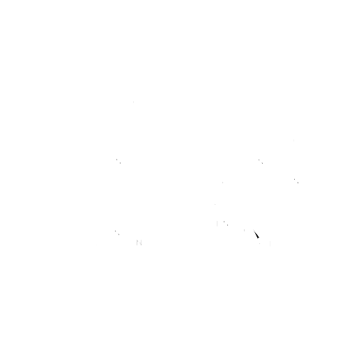 Cc1cnc(-c2cc(C(=O)N[C@H](C)c3cnc(C(F)(F)F)nc3)cc3nn(CCC(F)(F)F)cc23)s1